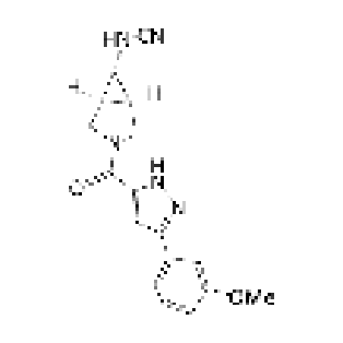 COc1cccc(-c2cc(C(=O)N3C[C@@H]4[C@H](C3)[C@H]4NC#N)[nH]n2)c1